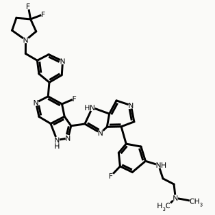 CN(C)CCNc1cc(F)cc(-c2cncc3[nH]c(-c4n[nH]c5cnc(-c6cncc(CN7CCC(F)(F)C7)c6)c(F)c45)nc23)c1